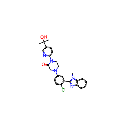 Cn1c(-c2cc(N3CCN(c4ccc(C(C)(C)O)cn4)C(=O)C3)ccc2Cl)nc2ccccc21